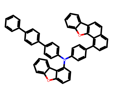 c1ccc(-c2ccc(-c3ccc(N(c4ccc(-c5cccc6ccc7c8ccccc8oc7c56)cc4)c4cccc5oc6ccccc6c45)cc3)cc2)cc1